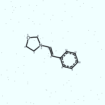 C(=CN1CCOC1)c1ccccc1